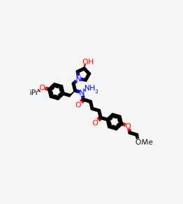 COCCOc1ccc(C(=O)CCCC(=O)N(N)[C@@H](Cc2ccc(OC(C)C)cc2)CN2CC[C@H](O)C2)cc1